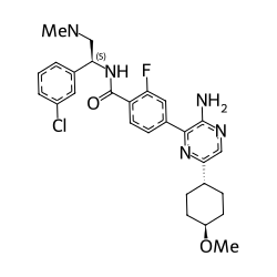 CNC[C@@H](NC(=O)c1ccc(-c2nc([C@H]3CC[C@H](OC)CC3)cnc2N)cc1F)c1cccc(Cl)c1